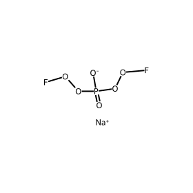 O=P([O-])(OOF)OOF.[Na+]